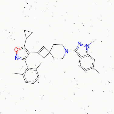 Cc1ccc2c(N3CCC4(C=C(c5c(-c6c(C)cccc6C)noc5C5CC5)C4)CC3)nn(C)c2c1